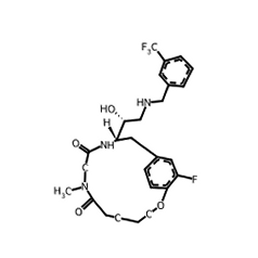 CN1CC(=O)N[C@H]([C@H](O)CNCc2cccc(C(F)(F)F)c2)Cc2ccc(c(F)c2)OCCCCC1=O